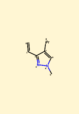 C=Cc1nn(C)cc1C(C)C